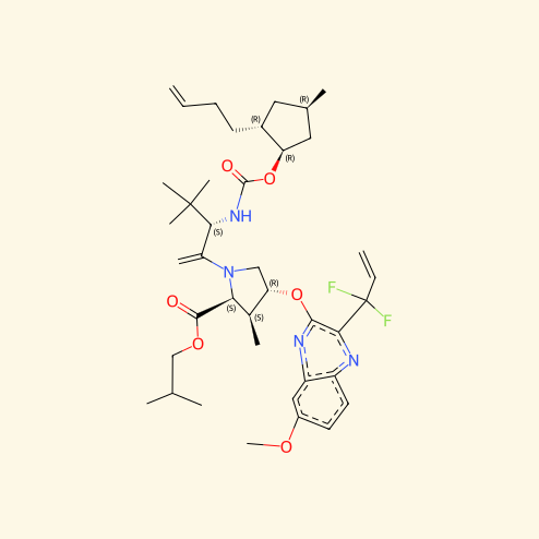 C=CCC[C@@H]1C[C@@H](C)C[C@H]1OC(=O)N[C@H](C(=C)N1C[C@H](Oc2nc3cc(OC)ccc3nc2C(F)(F)C=C)[C@@H](C)[C@H]1C(=O)OCC(C)C)C(C)(C)C